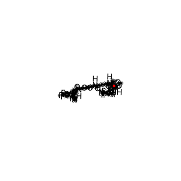 CC(=O)O[C@@H]1C[C@@H](C(=O)N[C@@H](C)c2ccc(-c3scnc3C)cc2)N(C(=O)[C@@H](NC(=O)CCCCCC(=O)NCCOCCOCCNC(=O)c2ccc3c(c2)c2cn(C)nc2n3-c2ccc(C(F)(F)F)cc2)C(C)(C)C)C1